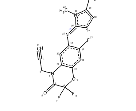 C#CCN1C(=O)C(F)(F)Oc2cc(F)c(/N=c3\scc(C)n3C)cc21